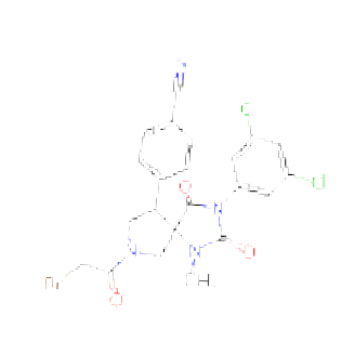 CN1C(=O)N(c2cc(Cl)cc(Cl)c2)C(=O)C12CN(C(=O)CBr)CC2c1ccc(C#N)cc1